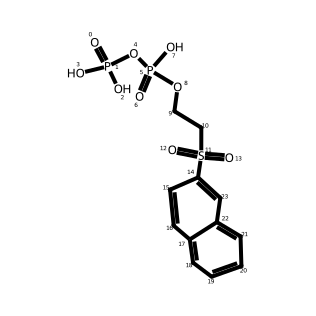 O=P(O)(O)OP(=O)(O)OCCS(=O)(=O)c1ccc2ccccc2c1